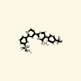 Cc1nc(-c2ccnc(-c3cccc(S(N)(=O)=O)c3)c2)ncc1-c1ccc(C(F)(F)F)cc1